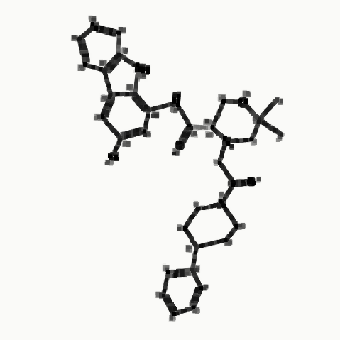 CC1(C)CN(CC(=O)N2CCC(c3ccccc3)CC2)[C@H](C(=O)Nc2cc(Cl)cc3c2[nH]c2cnccc23)CO1